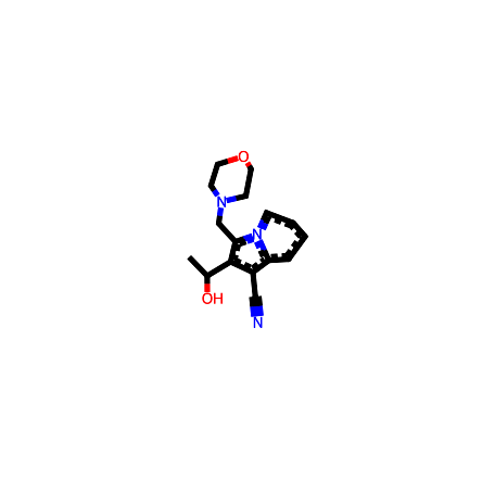 CC(O)c1c(C#N)c2ccccn2c1CN1CCOCC1